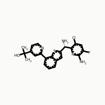 CC(C)(O)c1ccnc(-c2cccc3cc([C@H](N)c4nc(N)c(F)cc4Cl)sc23)c1